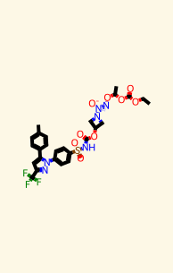 CCOC(=O)OC(C)O/N=[N+](\[O-])N1CC(OC(=O)NS(=O)(=O)c2ccc(-n3nc(C(F)(F)F)cc3-c3ccc(C)cc3)cc2)C1